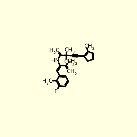 C=C(C)/C(=C\c1cccc(F)c1C)NC(=C)C(C)(C)C#CC1=C(C)C=CC1